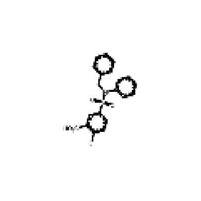 O=C(O)c1cc(S(=O)(=O)N(Cc2ccccc2)c2ccccc2)ccc1Cl